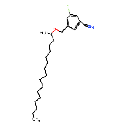 CCCCCCCCCCCCCCCC(C)OCc1cc(F)cc(C#N)c1